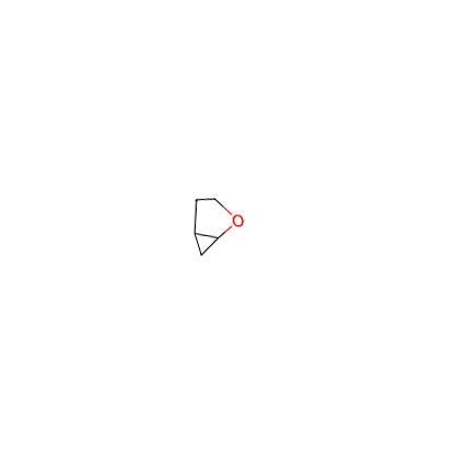 C1CC2CC2O1